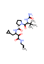 C=CCNC(=O)C(=O)C(CC1CC1)NC(=O)[C@@H]1CCCN1C(=O)[C@@H](NC(N)=O)C(C)(C)C